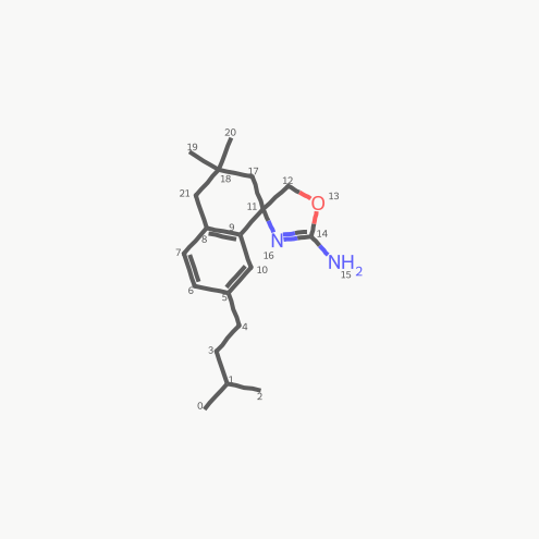 CC(C)CCc1ccc2c(c1)C1(COC(N)=N1)CC(C)(C)C2